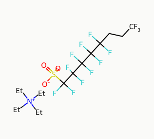 CC[N+](CC)(CC)CC.O=S(=O)([O-])C(F)(F)C(F)(F)C(F)(F)C(F)(F)C(F)(F)CCC(F)(F)F